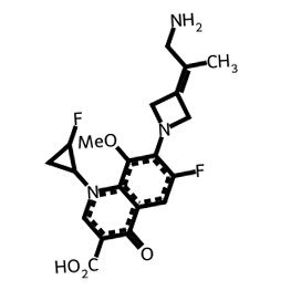 COc1c(N2CC(=C(C)CN)C2)c(F)cc2c(=O)c(C(=O)O)cn(C3CC3F)c12